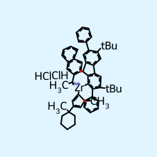 C/[C](c1ccc2ccccc2c1)=[Zr](\[C]1=CC(C2(C)CCCCC2)=CC1C)[c]1c2c(cc(C(C)(C)C)c1-c1ccccc1)-c1cc(C(C)(C)C)c(-c3ccccc3)cc1C2.Cl.Cl